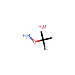 CCC(C)(C)ON.O